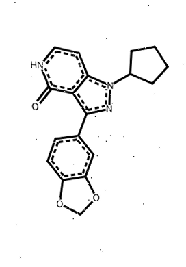 O=c1[nH]ccc2c1c(-c1ccc3c(c1)OCO3)nn2C1CCCC1